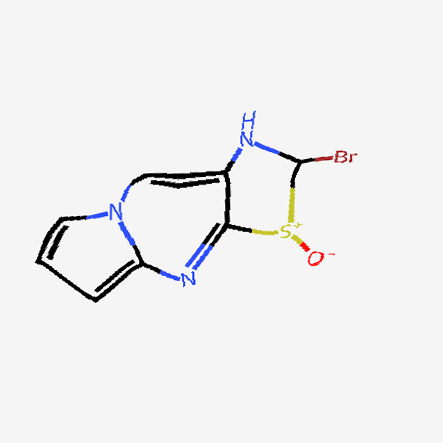 [O-][S+]1c2nc3cccn3cc2NC1Br